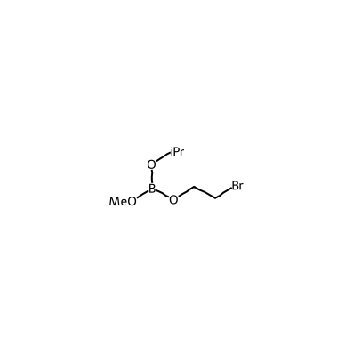 COB(OCCBr)OC(C)C